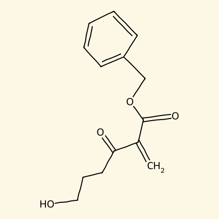 C=C(C(=O)CCCO)C(=O)OCc1ccccc1